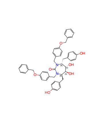 O=C1N(Cc2ccc(OCc3ccccc3)cc2)[C@H](Cc2ccc(O)cc2)[C@H](O)[C@@H](O)[C@@H](Cc2ccc(O)cc2)N1Cc1ccc(OCc2ccccc2)cc1